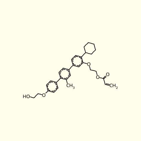 C=CC(=O)OCCOc1cc(-c2ccc(-c3ccc(OCCO)cc3)c(C)c2)ccc1C1CCCCC1